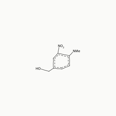 CNc1ccc(CO)cc1[N+](=O)[O-]